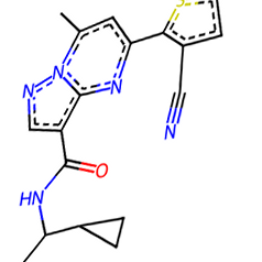 Cc1cc(-c2sccc2C#N)nc2c(C(=O)NC(C)C3CC3)cnn12